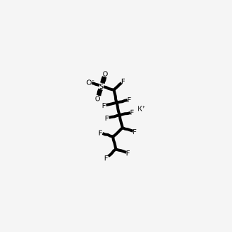 O=S(=O)([O-])C(F)C(F)(F)C(F)(F)C(F)C(F)C(F)F.[K+]